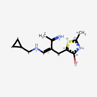 CC(=N)/C(=C\NCC1CC1)Cc1sc(C)nc1Br